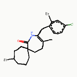 CCc1cc(Cl)ccc1CC1=C(C)CCC2(CCCC(CC)CC2)C(=O)N1